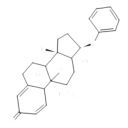 CC(=O)O[C@H]1C[C@]2(C)[C@H](Oc3ccccc3)CC[C@H]2[C@@H]2CCC3=CC(=O)C=C[C@]3(C)C12F